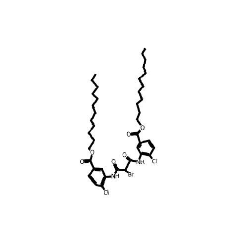 CCCCCCCCCCCCOC(=O)c1ccc(Cl)c(NC(=O)C(Br)C(=O)Nc2cc(C(=O)OCCCCCCCCCCCC)ccc2Cl)c1